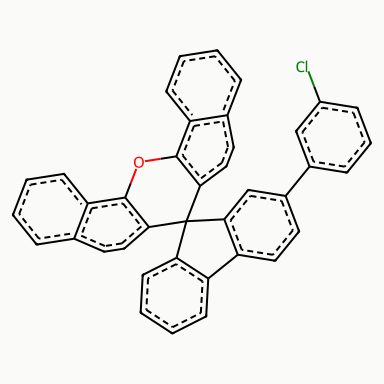 Clc1cccc(-c2ccc3c(c2)C2(c4ccccc4-3)c3ccc4ccccc4c3Oc3c2ccc2ccccc32)c1